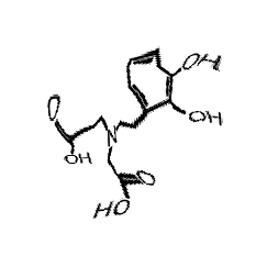 O=C(O)CN(CC(=O)O)Cc1cccc(O)c1O